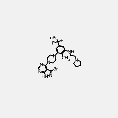 CCCC(F)(F)c1cc(NCCN2CCCC2)c(C)c(N2CCN(c3ncnc4[nH]nc(Br)c34)CC2)c1